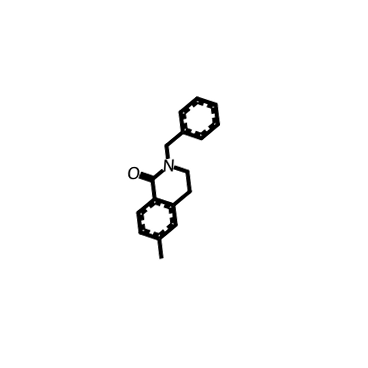 Cc1ccc2c(c1)CCN(Cc1ccccc1)C2=O